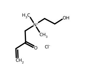 C=CC(=O)C[N+](C)(C)CCO.[Cl-]